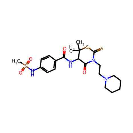 CC1(C)SC(=S)N(CCN2CCCCC2)C(=O)C1NC(=O)c1ccc(NS(C)(=O)=O)cc1